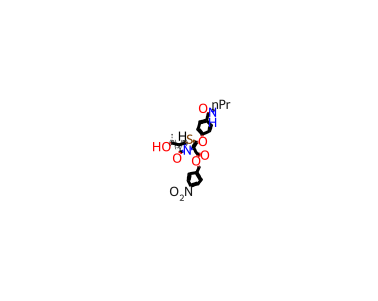 CCCNC(=O)c1ccc(OC2=C(C(=O)OCc3ccc([N+](=O)[O-])cc3)N3C(=O)[C@H]([C@@H](C)O)[C@H]3S2)cc1